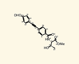 COC(=O)[C@@H](NC(=O)c1ccc(C#Cc2ccc(C=O)cc2)cc1)[C@@H](C)O